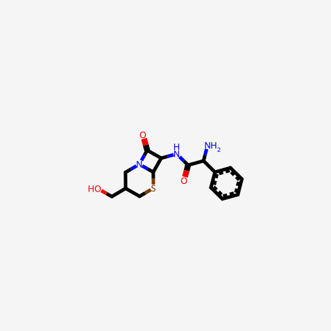 NC(C(=O)NC1C(=O)N2CC(CO)CSC12)c1ccccc1